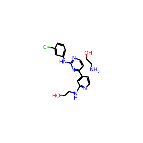 NCCO.OCCNc1cc(-c2ccnc(Nc3cccc(Cl)c3)n2)ccn1